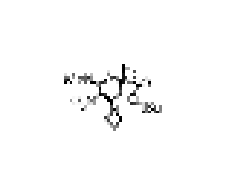 CC(C)(C)OC(N)=O.CNc1nccc(N2CCC2)c1[N+](=O)[O-]